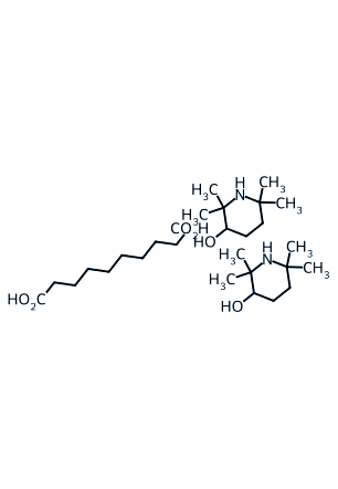 CC1(C)CCC(O)C(C)(C)N1.CC1(C)CCC(O)C(C)(C)N1.O=C(O)CCCCCCCCC(=O)O